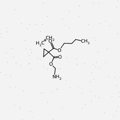 C=C.CCCCOC(=O)C1(C(=O)OCN)CC1